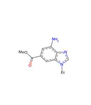 CCn1cnc2c(N)cc(C(=O)OC)cc21